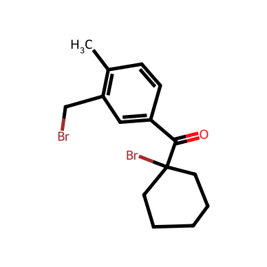 Cc1ccc(C(=O)C2(Br)CCCCC2)cc1CBr